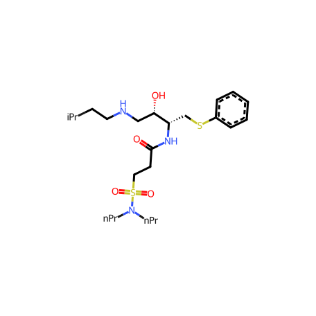 CCCN(CCC)S(=O)(=O)CCC(=O)N[C@@H](CSc1ccccc1)[C@@H](O)CNCCC(C)C